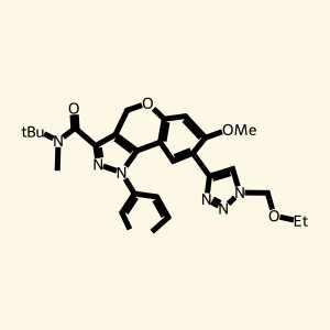 C/C=C\C(=C/C)n1nc(C(=O)N(C)C(C)(C)C)c2c1-c1cc(-c3cn(COCC)nn3)c(OC)cc1OC2